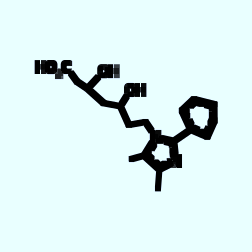 Cc1nc(-c2ccccc2)n(CCC(O)CC(O)CC(=O)O)c1C